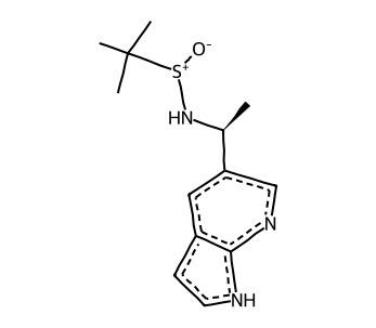 C[C@H](N[S+]([O-])C(C)(C)C)c1cnc2[nH]ccc2c1